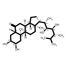 CC(C)[C@@H](C)[C@H](O)[C@@H](O)[C@@H](C)[C@H]1CC[C@H]2[C@@H]3CC(=O)[C@H]4C[C@H](O)[C@H](O)C[C@]4(C)[C@H]3CC[C@]12C